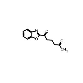 NC(=O)CC[CH]C(=O)c1nc2ccccc2o1